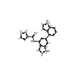 O=C(Nc1cc(-c2cccc3[nH]ccc23)cc2[nH]ncc12)c1ccon1